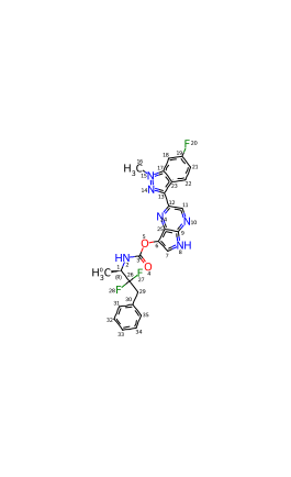 C[C@@H](NC(=O)Oc1c[nH]c2ncc(-c3nn(C)c4cc(F)ccc34)nc12)C(F)(F)Cc1ccccc1